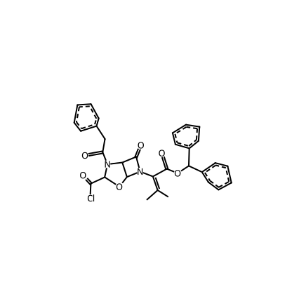 CC(C)=C(C(=O)OC(c1ccccc1)c1ccccc1)N1C(=O)C2C1OC(C(=O)Cl)N2C(=O)Cc1ccccc1